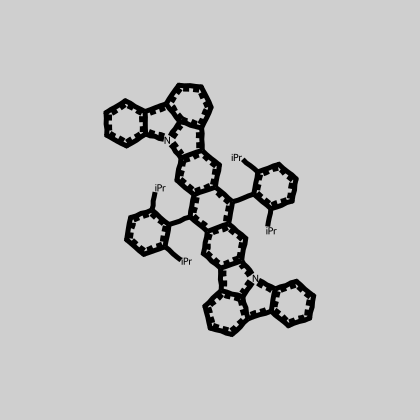 CC(C)c1cccc(C(C)C)c1-c1c2cc3c4cccc5c6ccccc6n(c3cc2c(-c2c(C(C)C)cccc2C(C)C)c2cc3c6cccc7c8ccccc8n(c3cc12)c76)c54